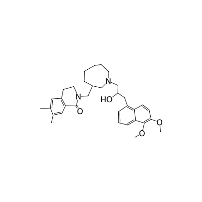 COc1ccc2c(CC(O)CN3CCCCCC(CN4CCc5cc(C)c(C)cc5C4=O)C3)cccc2c1OC